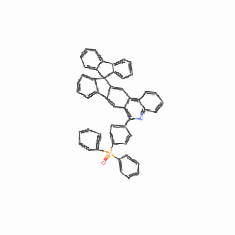 O=P(c1ccccc1)(c1ccccc1)c1ccc(-c2nc3ccccc3c3cc4c(cc23)-c2ccccc2C42c3ccccc3-c3ccccc32)cc1